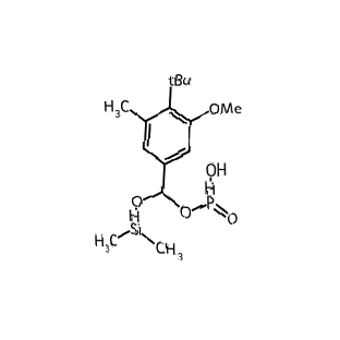 COc1cc(C(O[SiH](C)C)O[PH](=O)O)cc(C)c1C(C)(C)C